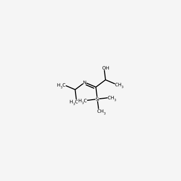 CC(C)N=C(C(C)O)[Si](C)(C)C